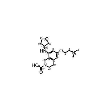 CN(C)CCOc1cc2c(c(N[C@H]3CCOC3)c1)CN(C(=O)O)CC2